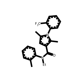 CCN(C(=O)c1cc(C)n(-c2ccccc2C(F)(F)F)c1C)c1ccccc1C